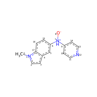 Cn1ccc2cc([NH+]([O-])c3ccncc3)ccc21